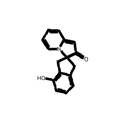 O=C1C=C2C=CC=CN2C12Cc1cccc(O)c1C2